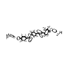 COC1CCC(C(=O)OC2CCC(C(=O)OC3CCC(C(=O)O)CC3)CC2)CC1